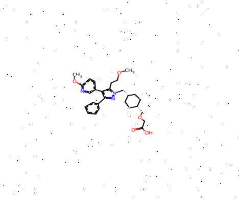 COCCc1c(-c2ccc(OC)nc2)c(-c2ccccc2)nn1C[C@H]1CC[C@@H](COCC(=O)O)CC1